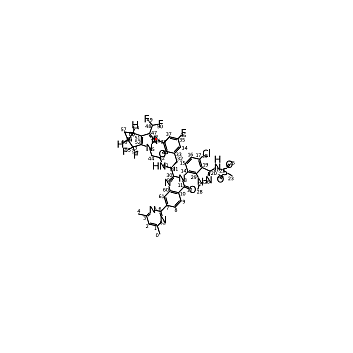 Cc1cc(C)nc(-c2ccc3c(=O)n(-c4ccc(Cl)c5c(NS(C)(=O)=O)nn(C)c45)c([C@H](Cc4cc(F)cc(F)c4)NC(=O)Cn4nc(C(F)F)c5c4C(F)(F)[C@@H]4C[C@H]54)nc3c2)n1